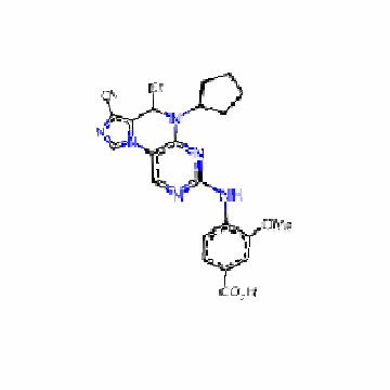 CCC1c2c(C#N)ncn2-c2cnc(Nc3ccc(C(=O)O)cc3OC)nc2N1C1CCCC1